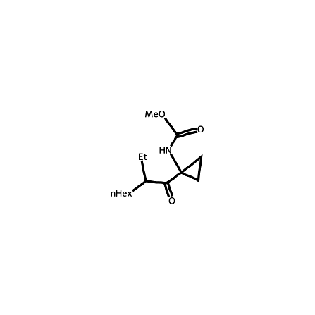 CCCCCCC(CC)C(=O)C1(NC(=O)OC)CC1